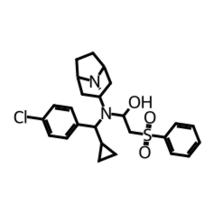 CN1C2CCC1CC(N(C(O)CS(=O)(=O)c1ccccc1)C(c1ccc(Cl)cc1)C1CC1)C2